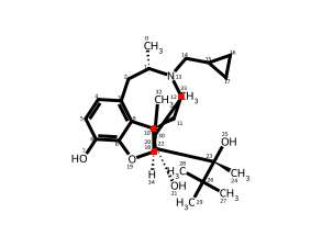 C[C@H]1Cc2ccc(O)c3c2[C@@]2(CCN1CC1CC1)[C@H](O3)[C@H](O)[C@@H]([C@](C)(O)C(C)(C)C)CC2(C)C